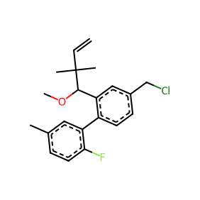 C=CC(C)(C)C(OC)c1cc(CCl)ccc1-c1cc(C)ccc1F